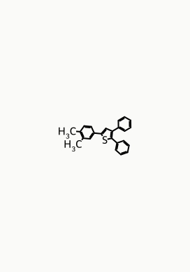 Cc1ccc(-c2cc(-c3ccccc3)c(-c3ccccc3)s2)cc1C